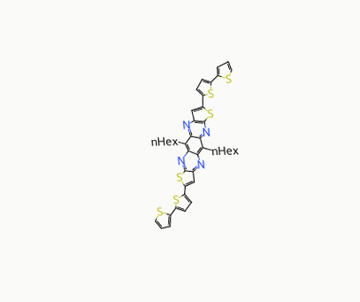 CCCCCCc1c2nc3cc(-c4ccc(-c5cccs5)s4)sc3nc2c(CCCCCC)c2nc3cc(-c4ccc(-c5cccs5)s4)sc3nc12